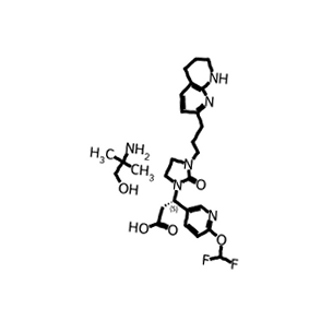 CC(C)(N)CO.O=C(O)C[C@@H](c1ccc(OC(F)F)nc1)N1CCN(CCCc2ccc3c(n2)NCCC3)C1=O